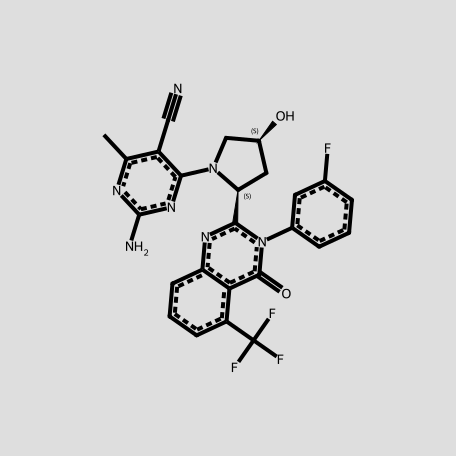 Cc1nc(N)nc(N2C[C@@H](O)C[C@H]2c2nc3cccc(C(F)(F)F)c3c(=O)n2-c2cccc(F)c2)c1C#N